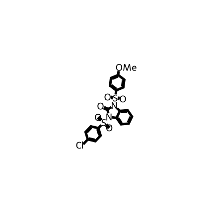 COc1ccc(S(=O)(=O)n2c(=O)n(S(=O)(=O)c3ccc(Cl)cc3)c3ccccc32)cc1